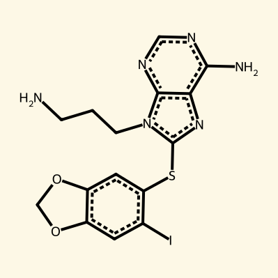 NCCCn1c(Sc2cc3c(cc2I)OCO3)nc2c(N)ncnc21